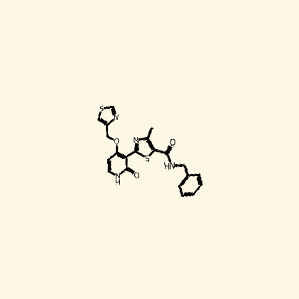 Cc1nc(-c2c(OCc3cscn3)cc[nH]c2=O)sc1C(=O)NCc1ccccc1